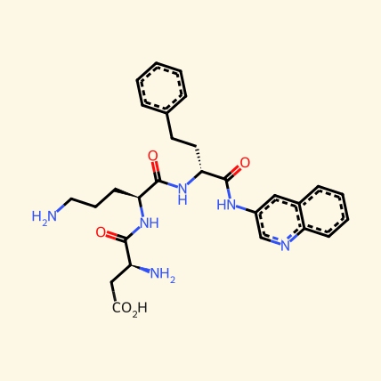 NCCC[C@H](NC(=O)[C@@H](N)CC(=O)O)C(=O)N[C@H](CCc1ccccc1)C(=O)Nc1cnc2ccccc2c1